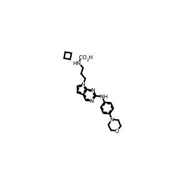 C1CCC1.O=C(O)NCCCn1ccc2cnc(Nc3ccc(N4CCOCC4)cc3)nc21